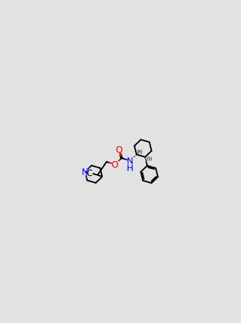 O=C(N[C@@H]1CCCC[C@H]1c1ccccc1)OCC1CN2CCC1CC2